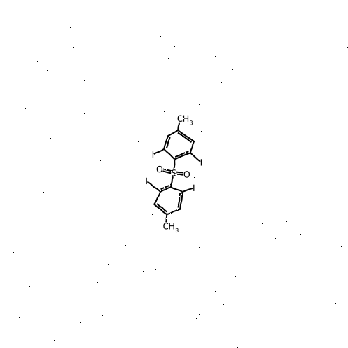 Cc1cc(I)c(S(=O)(=O)c2c(I)cc(C)cc2I)c(I)c1